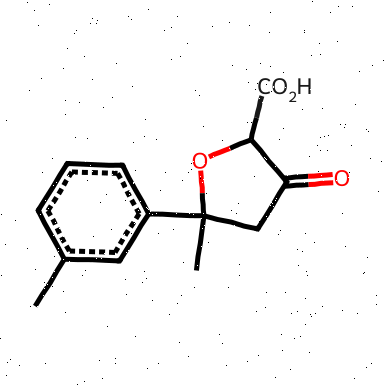 Cc1cccc(C2(C)CC(=O)C(C(=O)O)O2)c1